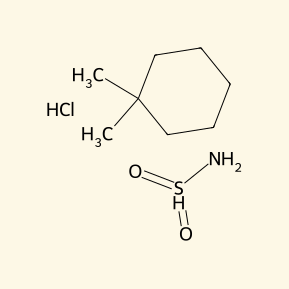 CC1(C)CCCCC1.Cl.N[SH](=O)=O